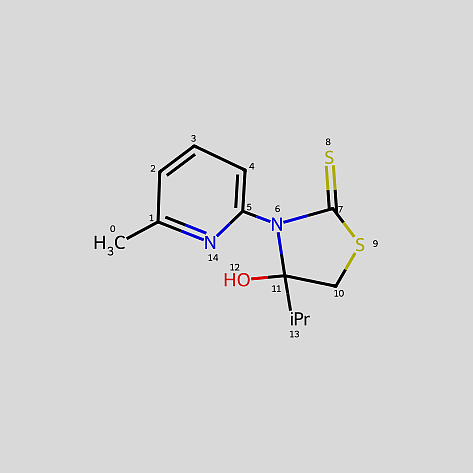 Cc1cccc(N2C(=S)SCC2(O)C(C)C)n1